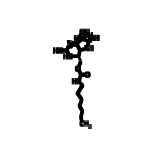 CCCCCCCNC(=O)OC[C@@H]1NC(=N)N2CCC(O)(O)C23NC(=N)NC13